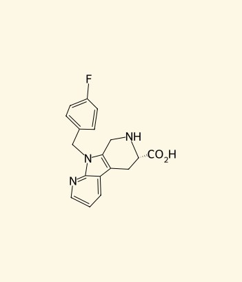 O=C(O)[C@@H]1Cc2c(n(Cc3ccc(F)cc3)c3ncccc23)CN1